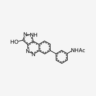 CC(=O)Nc1cccc(-c2ccc3c(c2)nnc2c(O)n[nH]c23)c1